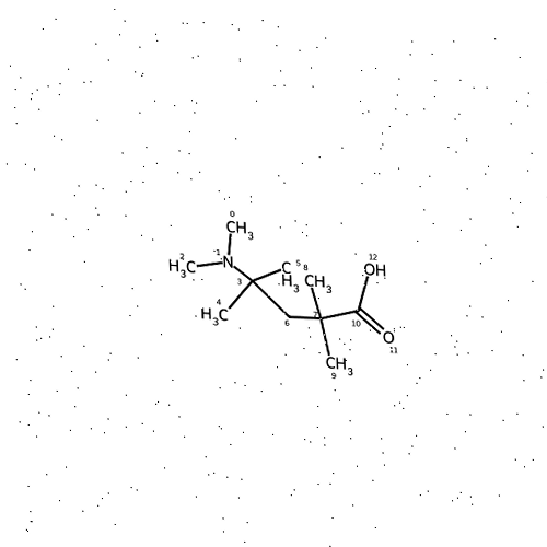 CN(C)C(C)(C)CC(C)(C)C(=O)O